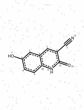 N#Cc1cc2cc(O)ccc2[nH]c1=O